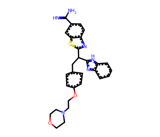 N=C(N)c1ccc2nc(C(Cc3ccc(OCCN4CCOCC4)cc3)c3nc4ccccc4[nH]3)sc2c1